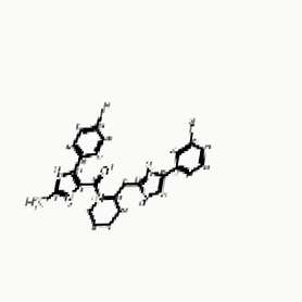 Cc1nc(C(=O)N2CCCCC2Cc2nc(-c3cccc(F)c3)cs2)c(-c2ccc(F)cc2)s1